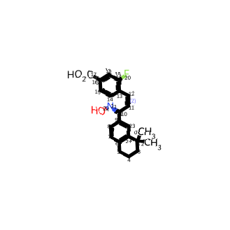 CC1(C)CCCc2ccc(C(/C=C\c3ccc(C(=O)O)cc3F)=NO)cc21